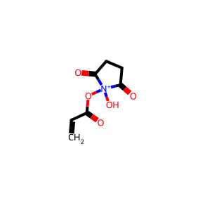 C=CC(=O)O[N+]1(O)C(=O)CCC1=O